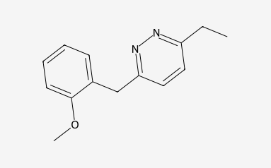 CCc1ccc(Cc2ccccc2OC)nn1